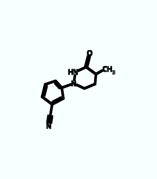 CC1CCN(c2cccc(C#N)c2)NC1=O